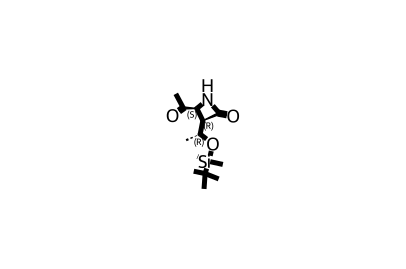 CC(=O)[C@H]1NC(=O)[C@H]1[C@@H](C)O[Si](C)(C)C(C)(C)C